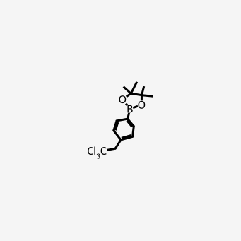 CC1(C)OB(c2ccc(CC(Cl)(Cl)Cl)cc2)OC1(C)C